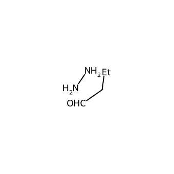 CCCC=O.NN